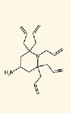 C=CCN1C(CC=C)(CC=C)CC(N)CC1(CC=C)CC=C